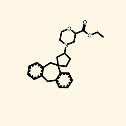 CCOC(=O)C1CN(C2CCC3(Cc4ccccc4Cc4ccccc43)C2)CCO1